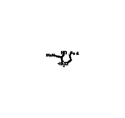 CCCCCCC(=O)O.CNC(C)O